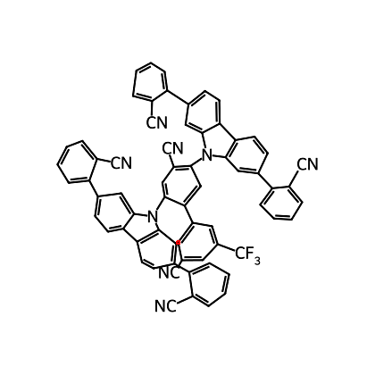 N#Cc1cc(-c2cc(-n3c4cc(-c5ccccc5C#N)ccc4c4ccc(-c5ccccc5C#N)cc43)c(C#N)cc2-n2c3cc(-c4ccccc4C#N)ccc3c3ccc(-c4ccccc4C#N)cc32)cc(C(F)(F)F)c1